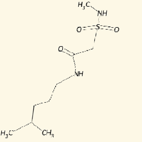 CNS(=O)(=O)CC(=O)NCCCC(C)C